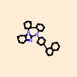 c1ccc2c(c1)-c1ccccc1-n1c(nc3ccccc31)N2c1ccc(-c2cccc3ccccc23)cc1